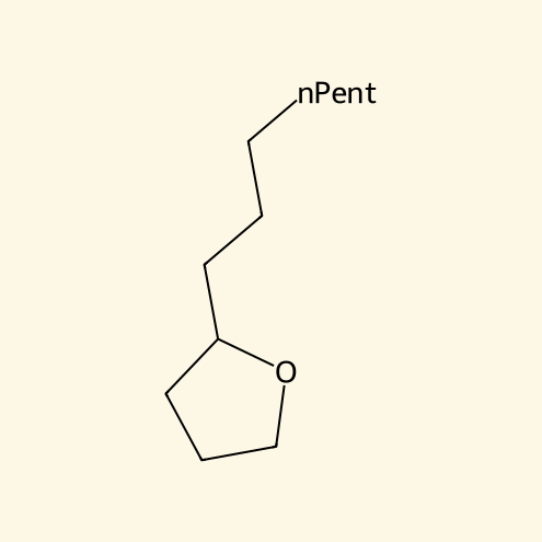 CCCCCCCCC1CCCO1